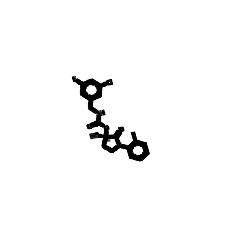 Cc1ccccc1N1CC[C@](O)(OC(=O)NCc2cc(F)cc(Cl)c2)C1=O